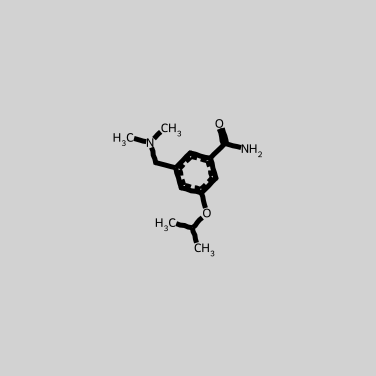 CC(C)Oc1cc(CN(C)C)cc(C(N)=O)c1